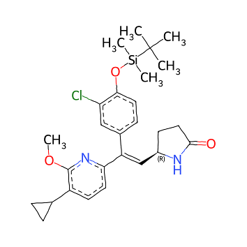 COc1nc(C(=C[C@H]2CCC(=O)N2)c2ccc(O[Si](C)(C)C(C)(C)C)c(Cl)c2)ccc1C1CC1